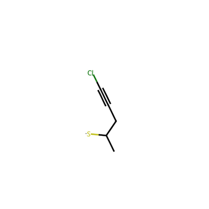 CC([S])CC#CCl